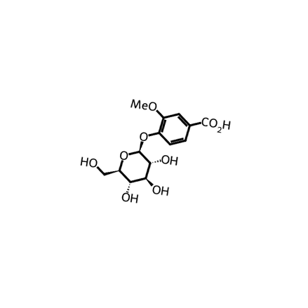 COc1cc(C(=O)O)ccc1O[C@@H]1O[C@H](CO)[C@@H](O)[C@H](O)[C@H]1O